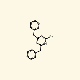 CCc1nc(Cc2ccccc2)nc(Cc2ccccc2)n1